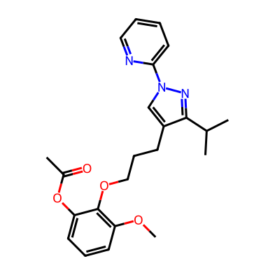 COc1cccc(OC(C)=O)c1OCCCc1cn(-c2ccccn2)nc1C(C)C